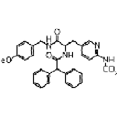 COc1ccc(CNC(=O)C(Cc2ccc(NC(=O)O)nc2)NC(=O)C(c2ccccc2)c2ccccc2)cc1